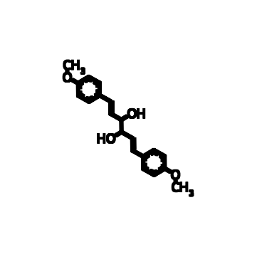 COc1ccc(C=CC(O)C(O)C=Cc2ccc(OC)cc2)cc1